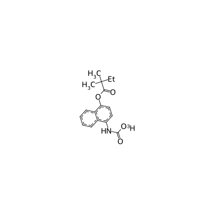 [3H]OC(=O)Nc1ccc(OC(=O)C(C)(C)CC)c2ccccc12